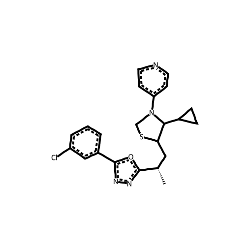 C[C@@H](CC1SCN(c2ccncc2)C1C1CC1)c1nnc(-c2cccc(Cl)c2)o1